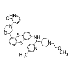 COCCN1CCC(C(Nc2ccc3c(c2)Sc2cccc(C4CN(c5ccc[nH]c5=O)CCO4)c2S3)c2ccc(C)cn2)CC1